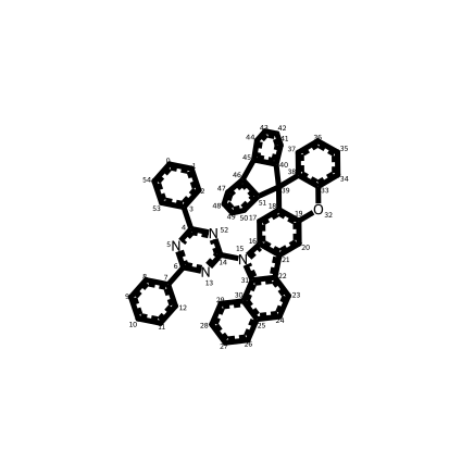 c1ccc(-c2nc(-c3ccccc3)nc(-n3c4cc5c(cc4c4ccc6ccccc6c43)Oc3ccccc3C53c4ccccc4-c4ccccc43)n2)cc1